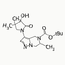 CC1Cn2ncc(N3CC(C)(C)C(O)C3=O)c2CN1C(=O)OC(C)(C)C